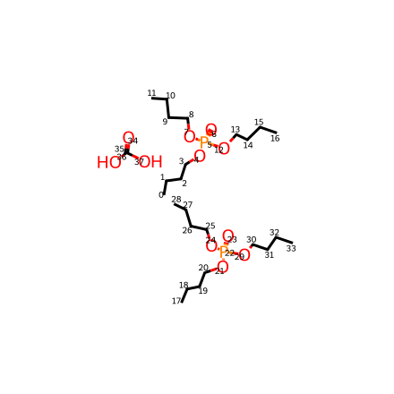 CCCCOP(=O)(OCCCC)OCCCC.CCCCOP(=O)(OCCCC)OCCCC.O=C(O)O